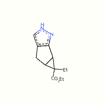 CCOC(=O)C1(CC)C2Cc3c[nH]nc3C21